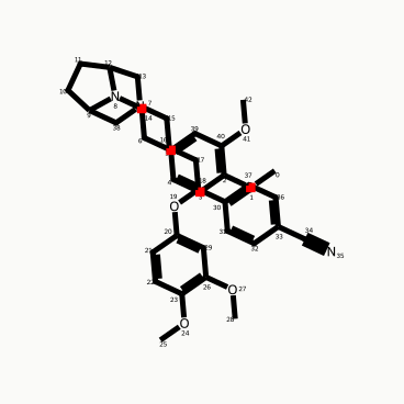 COc1ccc(CCN2C3CCC2CN(CCCC(Oc2ccc(OC)c(OC)c2)c2ccc(C#N)cc2)C3)cc1OC